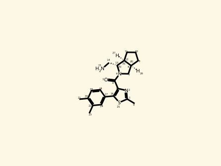 Cc1nc(C(=O)N2C[C@@H]3CCC[C@@H]3[C@H]2CN)c(-c2ccc(C)c(C)c2)s1